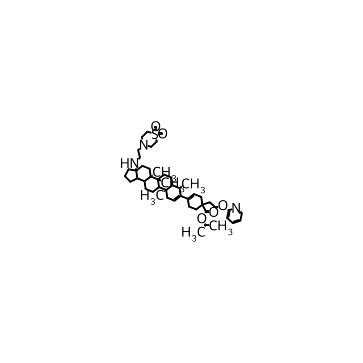 CC(C)OC(=O)C1(CCOc2ccccn2)CC=C(C2=CC[C@@]3(C)C(CCC4(C)C3CCC3C5CCCC5(NCCN5CCS(=O)(=O)CC5)CC[C@]34C)C2C)CC1